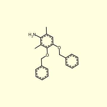 Cc1cc(OCc2ccccc2)c(OCc2ccccc2)c(C)c1N